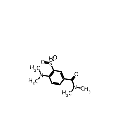 CN(C)C(=O)c1ccc(N(C)C)c([SH](=O)=O)c1